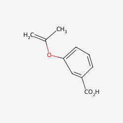 C=C(C)Oc1cccc(C(=O)O)c1